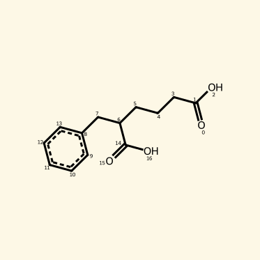 O=C(O)CCCC(Cc1ccccc1)C(=O)O